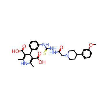 COc1cccc(C2CCN(CC(=O)NNC(=S)Nc3cccc(C4C(C(=O)O)=C(C)NC(C)=C4C(=O)O)c3)CC2)c1